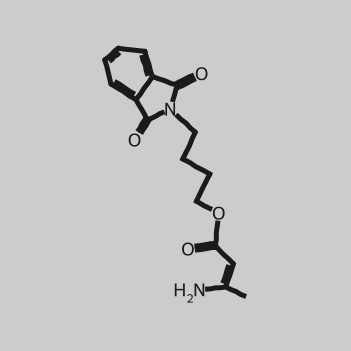 C/C(N)=C/C(=O)OCCCCN1C(=O)c2ccccc2C1=O